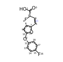 O=C(O)C(F)/C=C\c1ccc(Oc2ccc(F)cc2)o1